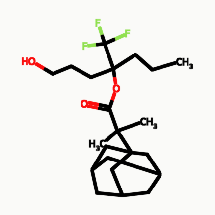 CCCC(CCCO)(OC(=O)C(C)(C)C12CC3CC(CC(C3)C1)C2)C(F)(F)F